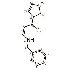 O=C(/C=C\NCc1ccccc1)C1C=CSC1